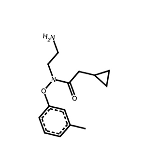 Cc1cccc(ON(CCN)C(=O)CC2CC2)c1